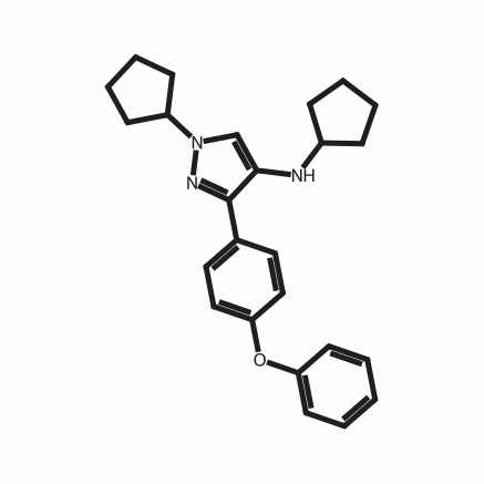 c1ccc(Oc2ccc(-c3nn(C4CCCC4)cc3NC3CCCC3)cc2)cc1